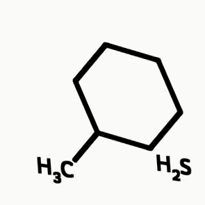 CC1CCCCC1.S